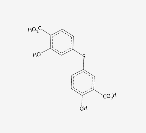 O=C(O)c1ccc(Sc2ccc(O)c(C(=O)O)c2)cc1O